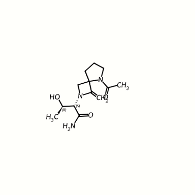 C=C1N([C@H](C(N)=O)[C@@H](C)O)CC12CCCN2C(C)=O